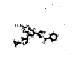 CCC(c1ccccc1)n1cc(-c2cc(-c3cnn(C4CC4)c3)c3nc(N)nn3c2)cn1